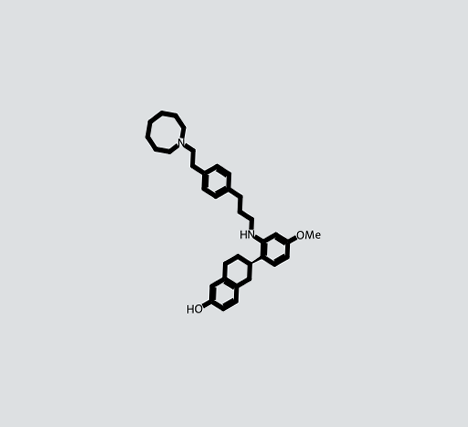 COc1ccc([C@@H]2CCc3cc(O)ccc3C2)c(NCCCc2ccc(CCN3CCCCCCC3)cc2)c1